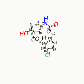 O=C(Nc1ccc(O)c(C(=O)O)c1)OCc1ccc(Cl)cc1